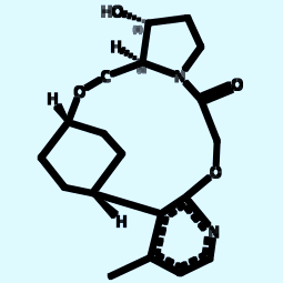 Cc1ccnc2c1[C@H]1CC[C@H](CC1)OC[C@H]1[C@H](O)CCN1C(=O)CO2